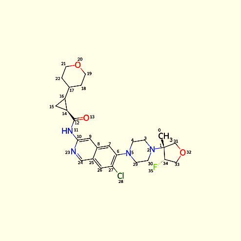 C[C@@]1(N2CCN(c3cc4cc(NC(=O)[C@H]5CC5C5CCOCC5)ncc4cc3Cl)CC2)COC[C@@H]1F